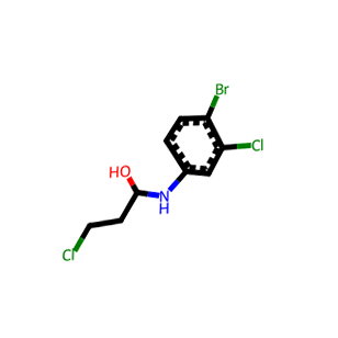 OC(CCCl)Nc1ccc(Br)c(Cl)c1